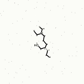 CCC[C@H](CO)CCCN(CC)CC